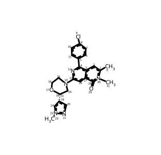 Cc1cc2c(-c3ccc(Cl)cc3)nc(N3CCO[C@@H](c4cnn(C)c4)C3)cc2c(=O)n1C